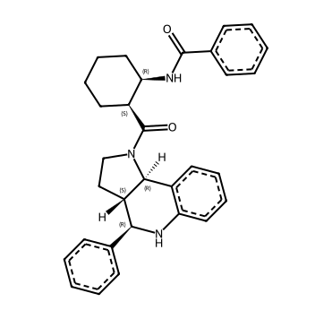 O=C(N[C@@H]1CCCC[C@@H]1C(=O)N1CC[C@H]2[C@H](c3ccccc3)Nc3ccccc3[C@@H]21)c1ccccc1